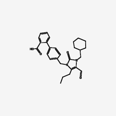 CCCc1c(C=O)n(CC2CCCCC2)c(=O)n1Cc1ccc(-c2ccccc2C(=O)O)cc1